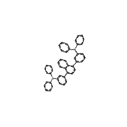 c1ccc(N(c2ccccc2)c2cccc(-c3ccc(-c4cccc(N(c5ccccc5)c5ccccc5)c4)c4ccccc34)c2)cc1